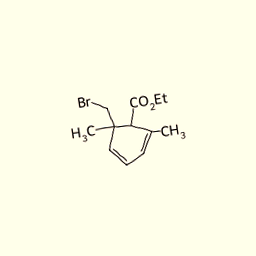 CCOC(=O)C1C(C)=CC=CC1(C)CBr